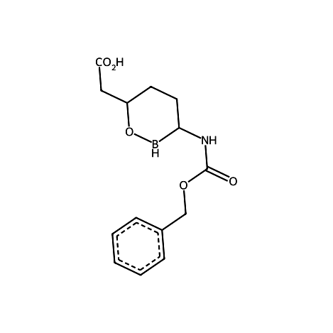 O=C(O)CC1CCC(NC(=O)OCc2ccccc2)BO1